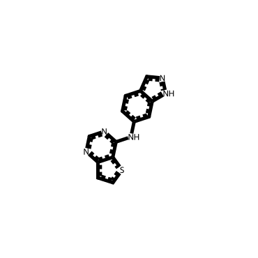 c1nc(Nc2ccc3cn[nH]c3c2)c2sccc2n1